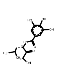 CC(C)C[C@H](NC(=O)c1cc(O)c(O)c(O)c1)C(=O)CO